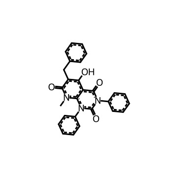 Cn1c(=O)c(Cc2ccccc2)c(O)c2c(=O)n(-c3ccccc3)c(=O)n(-c3ccccc3)c21